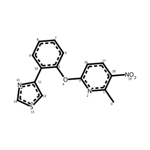 Cc1nc(Oc2ccccc2-c2cscn2)ccc1[N+](=O)[O-]